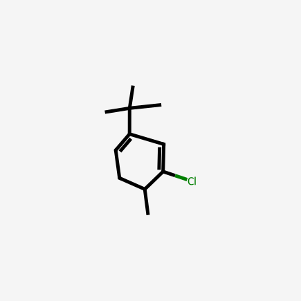 CC1CC=C(C(C)(C)C)C=C1Cl